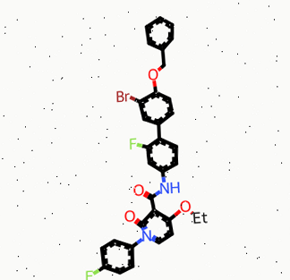 CCOc1ccn(-c2ccc(F)cc2)c(=O)c1C(=O)Nc1ccc(-c2ccc(OCc3ccccc3)c(Br)c2)c(F)c1